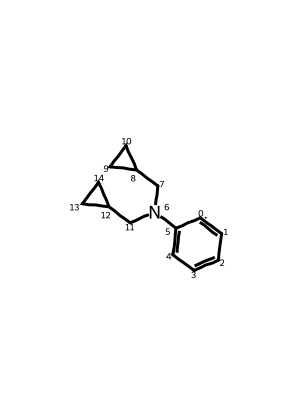 [c]1ccccc1N(CC1CC1)CC1CC1